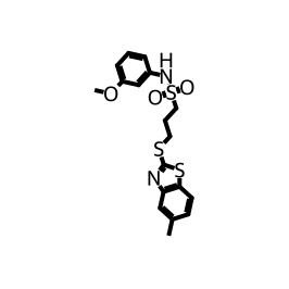 COc1cccc(NS(=O)(=O)CCCSc2nc3cc(C)ccc3s2)c1